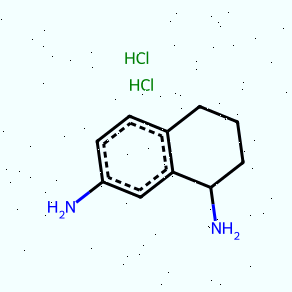 Cl.Cl.Nc1ccc2c(c1)C(N)CCC2